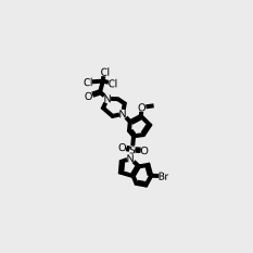 COc1ccc(S(=O)(=O)n2ccc3ccc(Br)cc32)cc1N1CCN(C(=O)C(Cl)(Cl)Cl)CC1